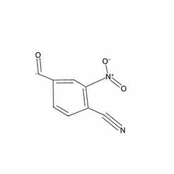 N#Cc1ccc([C]=O)cc1[N+](=O)[O-]